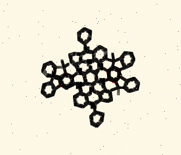 CC1(C)c2ccccc2-c2ccc(-n3c4cccc5c4p4c6c(cccc6n(-c6ccc7c(c6)C(C)(C)c6ccccc6-7)c6c7c8c(c3c64)n(-c3ccc4c(c3)C(C)(C)c3ccccc3-4)c3cccc4c3p8c3c(cccc3n7-c3ccc6c(c3)C(C)(C)c3ccccc3-6)n4-c3ccccc3)n5-c3ccccc3)cc21